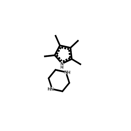 C1CNCCN1.Cc1[nH]c(C)c(C)c1C